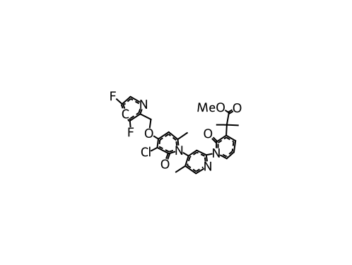 COC(=O)C(C)(C)c1cccn(-c2cc(-n3c(C)cc(OCc4ncc(F)cc4F)c(Cl)c3=O)c(C)cn2)c1=O